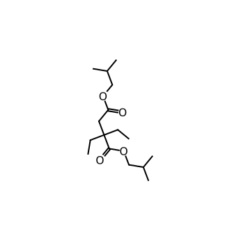 CCC(CC)(CC(=O)OCC(C)C)C(=O)OCC(C)C